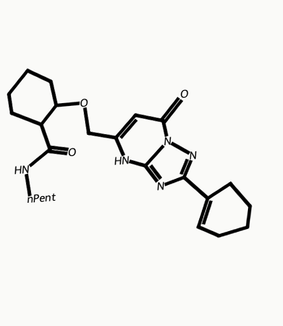 CCCCCNC(=O)C1CCCCC1OCc1cc(=O)n2nc(C3=CCCCC3)nc2[nH]1